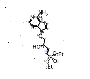 CCOP(=O)(/C=C/C(O)COn1cnc2c(N)ncnc21)OCC